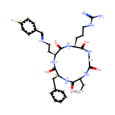 N=C(N)NCCC[C@@H]1NC(=O)[C@H](CC/N=C/c2ccc(F)cc2)NC(=O)[C@H](Cc2ccccc2)NC(=O)C(CC(=O)O)NC(=O)CNC1=O